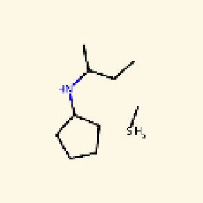 CCC(C)NC1CCCC1.C[SiH3]